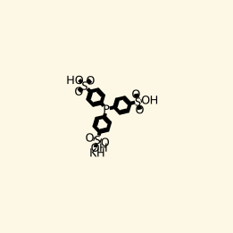 O=S(=O)(O)c1ccc(P(c2ccc(S(=O)(=O)O)cc2)c2ccc(S(=O)(=O)O)cc2)cc1.[KH]